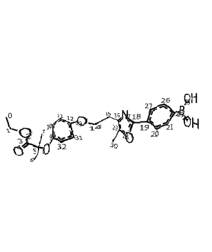 CCOC(=O)C(C)(C)Oc1ccc(OCCc2nc(-c3ccc(B(O)O)cc3)oc2C)cc1